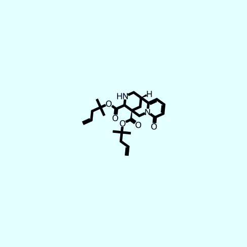 C=CCC(C)(C)OC(=O)C1NC[C@H]2C[C@]1(C(=O)OC(C)(C)CC=C)Cn1c2cccc1=O